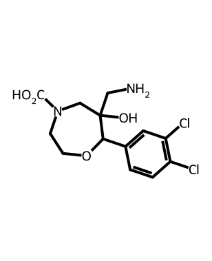 NCC1(O)CN(C(=O)O)CCOC1c1ccc(Cl)c(Cl)c1